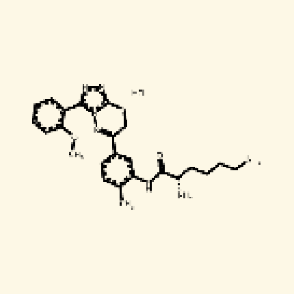 COc1ccccc1-c1nnc2n1N=C(c1ccc(C)c(NC(=O)[C@@H](N)CCCCN)c1)CS2.Cl